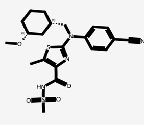 CO[C@@H]1CCC[C@H](CN(c2ccc(C#N)cc2)c2nc(C(=O)NS(C)(=O)=O)c(C)s2)C1